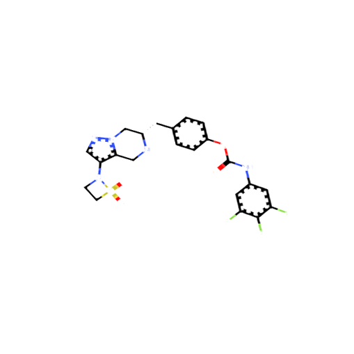 O=C(Nc1cc(F)c(F)c(F)c1)Oc1ccc(C[C@H]2Cn3ncc(N4CCS4(=O)=O)c3CN2)cc1